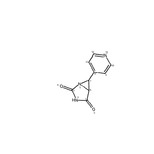 O=C1NC(=O)N2C1C2c1ccncc1